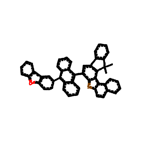 CC1(C)c2ccccc2-c2cc(-c3c4ccccc4c(-c4ccc5oc6ccccc6c5c4)c4ccccc34)c3sc4ccc5ccccc5c4c3c21